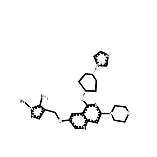 CC(C)n1ncc(COc2cnc3cc(N4CCOCC4)nc(O[C@H]4CC[C@@H](n5ccnc5)CC4)c3c2)c1N